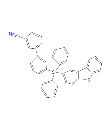 N#Cc1cccc(-c2cccc([Si](c3ccccc3)(c3ccccc3)c3ccc4sc5ccccc5c4c3)c2)c1